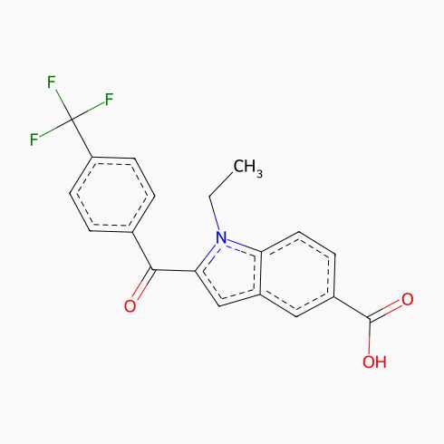 CCn1c(C(=O)c2ccc(C(F)(F)F)cc2)cc2cc(C(=O)O)ccc21